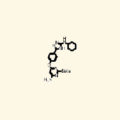 CSc1nc(N)cc(Oc2ccc(-c3nnc(NC4CCCCC4)[nH]3)cc2)n1